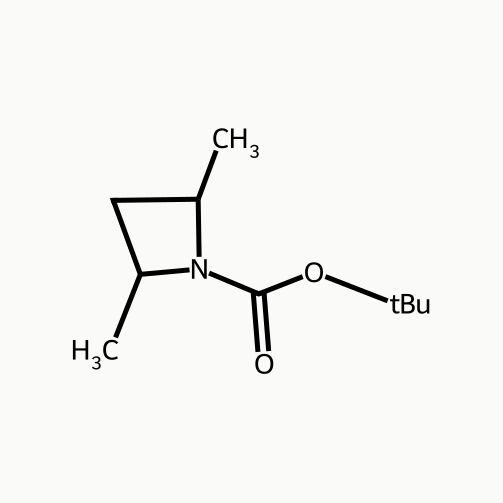 CC1CC(C)N1C(=O)OC(C)(C)C